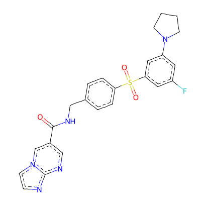 O=C(NCc1ccc(S(=O)(=O)c2cc(F)cc(N3CCCC3)c2)cc1)c1cnc2nccn2c1